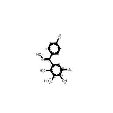 Cc1c(C(=NO)c2ccc(Cl)cc2)cc(C(C)(C)C)c(O)c1C(=O)O